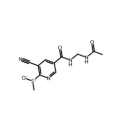 CC(=O)NCNC(=O)c1cnc([S+](C)[O-])c(C#N)c1